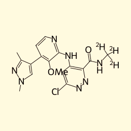 [2H]C([2H])([2H])NC(=O)c1nnc(Cl)cc1Nc1nccc(-c2cn(C)nc2C)c1OC